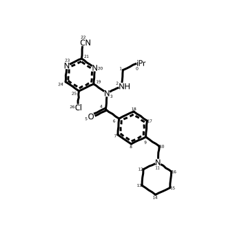 CC(C)CNN(C(=O)c1ccc(CN2CCCCC2)cc1)c1nc(C#N)ncc1Cl